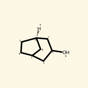 OC1CC2CC[C@@H](C1)C2